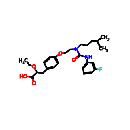 CCOC(Cc1ccc(OCCN(CCCC(C)C)C(=O)Nc2cccc(F)c2)cc1)C(=O)O